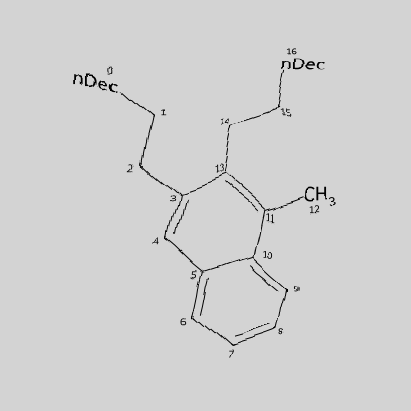 CCCCCCCCCCCCc1cc2ccccc2c(C)c1CCCCCCCCCCCC